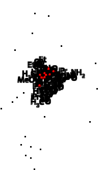 CCOP(=O)(CCN(CC(C(=O)N[C@H](C(=O)N[C@@H](CCCNC(N)=O)C(=O)Nc1ccc(COC(=O)N(C)[C@@H](C(=O)N[C@H](C(=O)N(C)[C@H]([C@@H](C)CC)[C@@H](CC(=O)N2CCC[C@H]2[C@@H](OC)[C@@H](C)C(=O)N[C@@H](C)[C@H](O)c2ccccc2)OC)C(C)C)C(C)C)cc1)C(C)C)N1C(=O)C=CC1=O)C(=O)OC(C)(C)C)OCC